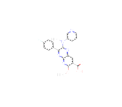 COc1nc2nc(-c3ccc(F)cc3)c(N(C)c3cccnc3)nc2cc1C(=O)O